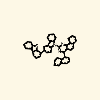 c1ccc2c(-c3nc(-n4c5ccccc5c5cc(-c6cccc7c6sc6ccccc67)ccc54)nc4c3ccc3ccccc34)cccc2c1